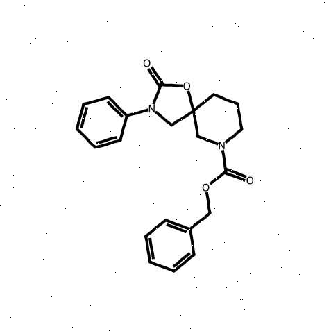 O=C(OCc1ccccc1)N1CCCC2(C1)CN(c1ccccc1)C(=O)O2